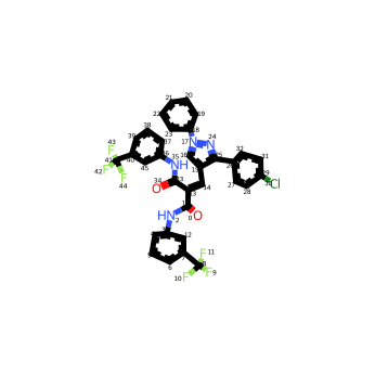 O=C(Nc1cccc(C(F)(F)F)c1)C(=Cc1cn(-c2ccccc2)nc1-c1ccc(Cl)cc1)C(=O)Nc1cccc(C(F)(F)F)c1